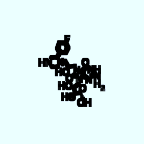 Nc1nc2c(c(=O)[nH]1)n(CC(O)CN1CCNCC1c1ccc(F)cc1)c(=O)n2[C@@H]1O[C@H](CO)[C@@H](O)[C@H]1O